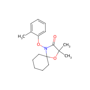 Cc1ccccc1ON1C(=O)C(C)(C)OC12CCCCC2